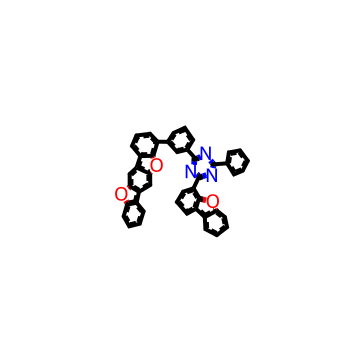 c1ccc(-c2nc(-c3cccc(-c4cccc5c4oc4cc6c(cc45)oc4ccccc46)c3)nc(-c3cccc4c3oc3ccccc34)n2)cc1